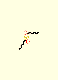 CCCCCC(=O)SSC(=O)CCCCC